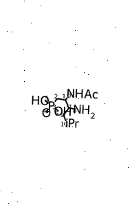 CC(=O)NC(CP(=O)(O)O)C(N)CC(C)C